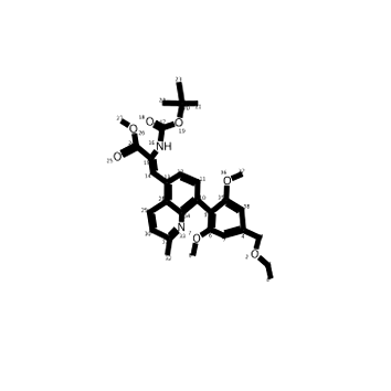 CCOCc1cc(OC)c(-c2ccc(C=C(NC(=O)OC(C)(C)C)C(=O)OC)c3ccc(C)nc23)c(OC)c1